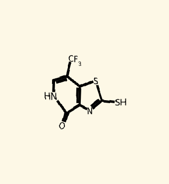 O=c1[nH]cc(C(F)(F)F)c2sc(S)nc12